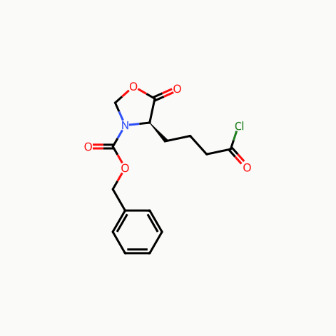 O=C(Cl)CCC[C@@H]1C(=O)OCN1C(=O)OCc1ccccc1